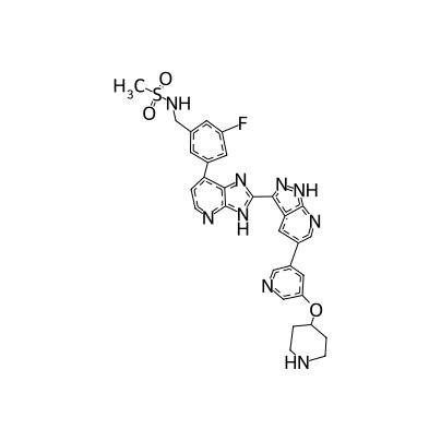 CS(=O)(=O)NCc1cc(F)cc(-c2ccnc3[nH]c(-c4n[nH]c5ncc(-c6cncc(OC7CCNCC7)c6)cc45)nc23)c1